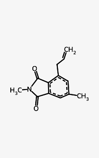 C=CCc1cc(C)cc2c1C(=O)N(C)C2=O